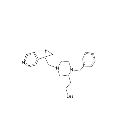 OCCC1CN(CC2(c3ccncc3)CC2)CCN1Cc1ccccc1